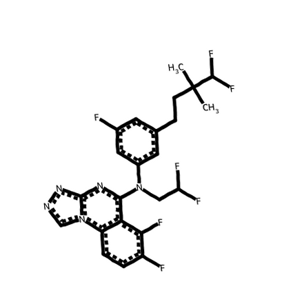 CC(C)(CCc1cc(F)cc(N(CC(F)F)c2nc3nncn3c3ccc(F)c(F)c23)c1)C(F)F